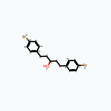 OC(CCc1ccc(Br)cc1)CCc1ccc(Br)cc1